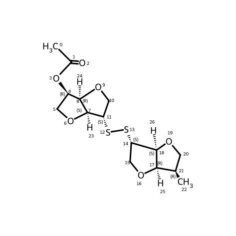 CC(=O)O[C@@H]1CO[C@H]2[C@@H]1OC[C@@H]2SS[C@H]1CO[C@H]2[C@@H]1OC[C@H]2C